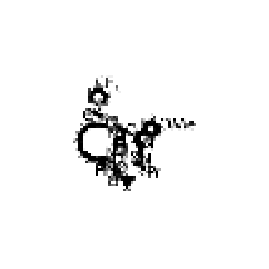 COc1ccc2c(O[C@@H]3C[C@H]4C(=O)N[C@]5(C(=O)NS(=O)(=O)C6CC6)CC5C=CCCCCC[C@H](CC(=O)N5CCC(C(F)(F)F)CC5)C(=O)N4C3)cc(-c3nc(C(C)C)cs3)nc2c1